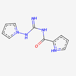 N=C(NC(=O)c1ccc[nH]1)Nn1cccc1